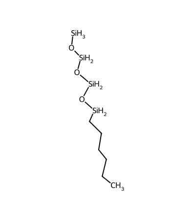 CCCCCC[SiH2]O[SiH2]O[SiH2]O[SiH3]